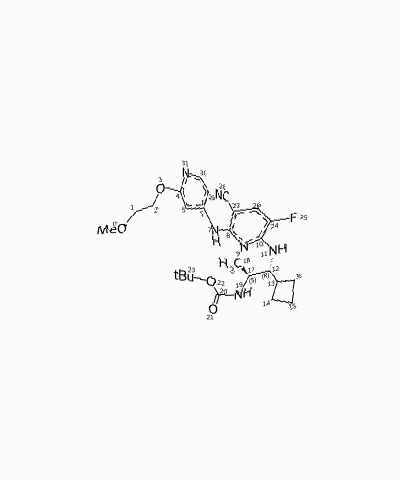 COCCOc1cc(Nc2nc(N[C@H](C3CCC3)[C@H](C)NC(=O)OC(C)(C)C)c(F)cc2C#N)ccn1